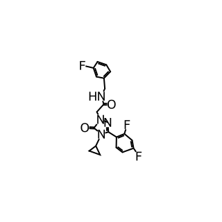 O=C(Cn1nc(-c2ccc(F)cc2F)n(C2CC2)c1=O)NCc1cccc(F)c1